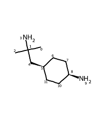 CC(C)(N)C[C@H]1CC[C@@H](N)CC1